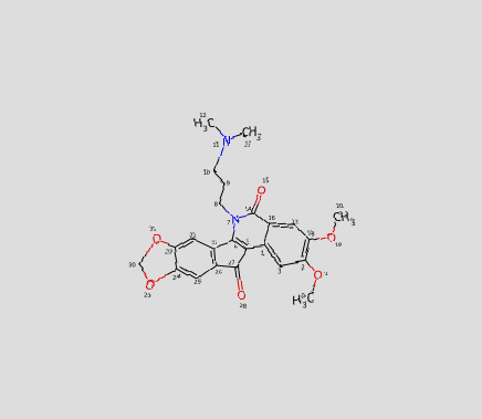 COc1cc2c3c(n(CCCN(C)C)c(=O)c2cc1OC)-c1cc2c(cc1C3=O)OCO2